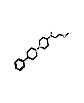 COCCNC1CCN(N2CCC(c3ccccc3)CC2)CC1